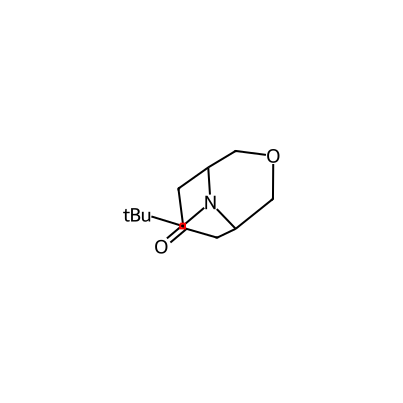 CC(C)(C)CN1C2COCC1CC(=O)C2